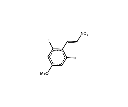 COc1cc(F)c(C=C[N+](=O)[O-])c(F)c1